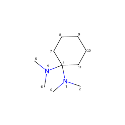 CN(C)C1(N(C)C)CCCCC1